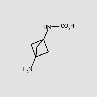 NC12CC(NC(=O)O)(C1)C2